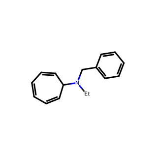 CCN(Cc1ccccc1)C1C=CC=CC=C1